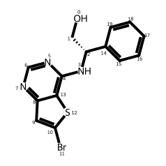 OC[C@@H](Nc1ncnc2cc(Br)sc12)c1ccccc1